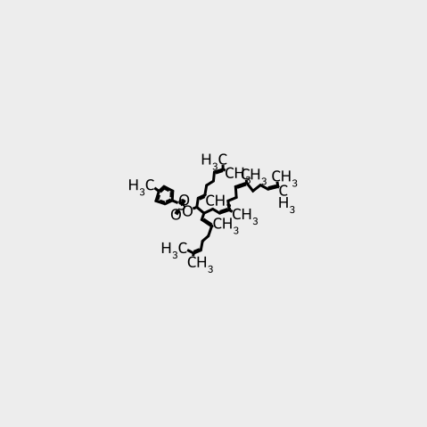 CC(C)=CCCC(C)=CCCC(C)=CCC(/C=C(\C)CCC=C(C)C)C(/C=C(\C)CCC=C(C)C)OS(=O)(=O)c1ccc(C)cc1